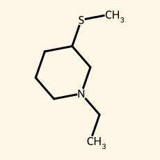 CCN1CCCC(SC)C1